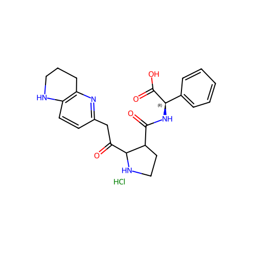 Cl.O=C(N[C@@H](C(=O)O)c1ccccc1)C1CCNC1C(=O)Cc1ccc2c(n1)CCCN2